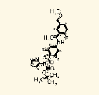 COCc1ccc(F)c([C@H](C)Nc2cc(F)c(S(=O)(=O)N(C(=O)OC(C)(C)C)c3cscn3)c(F)c2)c1